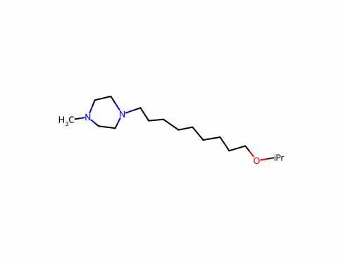 CC(C)OCCCCCCCCCN1CCN(C)CC1